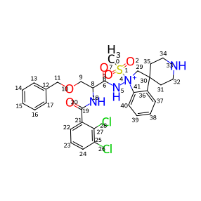 CS(=O)(=O)[N+]1(NC(=O)C(COCc2ccccc2)NC(=O)c2cccc(Cl)c2Cl)CC2(CCNCC2)c2ccccc21